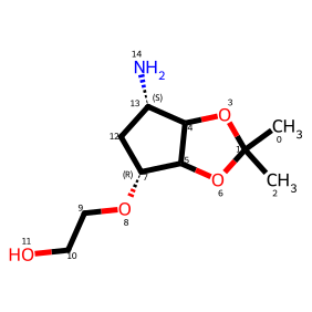 CC1(C)OC2C(O1)[C@H](OCCO)C[C@@H]2N